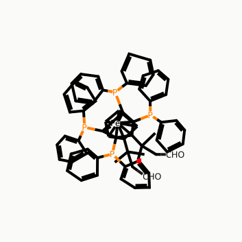 CC(C)(CC=O)[C]12[CH]3[CH]4[CH]5[CH]1[Fe]45321678[C]2(P(c3ccccc3)c3ccccc3)[C]1(P(c1ccccc1)c1ccccc1)[C]6(P(c1ccccc1)c1ccccc1)[C]7(C(C)(C)CC=O)[C]28P(c1ccccc1)c1ccccc1